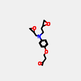 c1cc(N(CCC2CO2)CC2CO2)ccc1OCCC1CO1